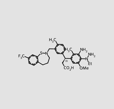 CCN(N)c1c(OC)cc([C@@H](CC(=O)O)c2ccc(C)c(CN3CCCc4ccc(C(F)(F)F)cc4S3)c2)c(C)c1N